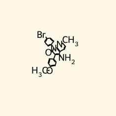 COc1ccc(-c2c(N)c3ccc(C)nc3n(-c3ccc(Br)cc3)c2=O)cc1